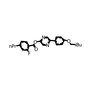 CCCc1ccc(C(=O)Oc2cnc(-c3ccc(OCC(C)CC)cc3)cn2)c(F)c1